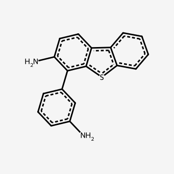 Nc1cccc(-c2c(N)ccc3c2sc2ccccc23)c1